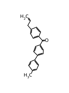 C=CCc1ccc(C(=O)c2ccc(-c3ccc(C)cc3)cc2)cc1